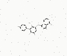 CCOc1c(Cc2nc(Cl)c3c(N)nccn23)cc(Cl)c(C)c1-c1ccc(C(=O)O)nc1